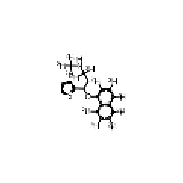 [2H]c1c([2H])c([2H])c2c(OC(CC([2H])([2H])NC([2H])([2H])[2H])c3cccs3)c([2H])c([2H])c([2H])c2c1[2H]